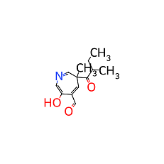 CCC(C)C(=O)C1(C)C=NC=C(O)C(C=O)=C1